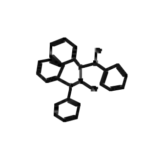 CC(C)N(c1ccccc1)P(c1ccccc1)N(C(C)C)P(c1ccccc1)c1ccccc1